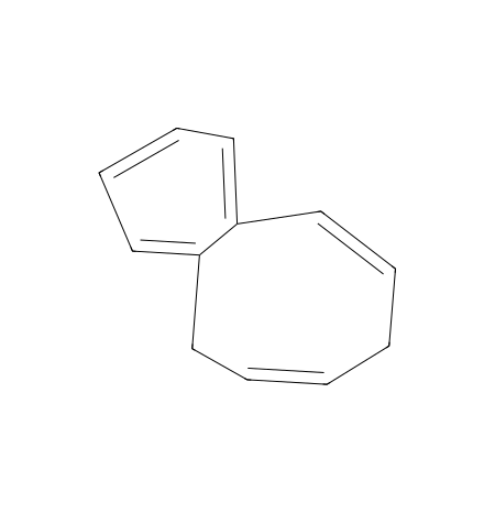 C1=CCc2ccccc2C=CC1